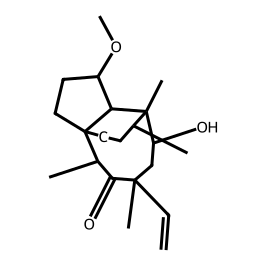 C=CC1(C)CC(O)C2(C)C(C)CCC3(CCC(OC)C32)C(C)C1=O